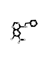 O=[N+]([O-])c1cc2c(NCc3ccccc3)ncnc2cc1Cl